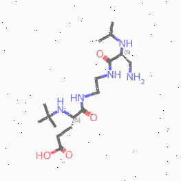 CC(C)N[C@@H](CN)C(=O)NCCNC(=O)[C@H](CCC(=O)O)NC(C)(C)C